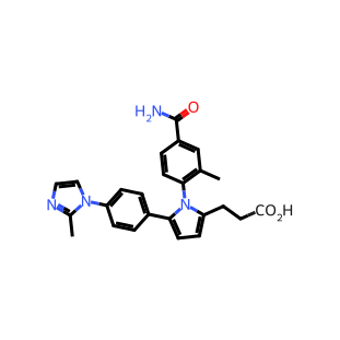 Cc1cc(C(N)=O)ccc1-n1c(CCC(=O)O)ccc1-c1ccc(-n2ccnc2C)cc1